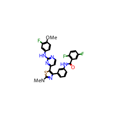 CNc1nc(-c2cccc(NC(=O)c3cc(F)ccc3F)c2)c(-c2ccnc(Nc3ccc(OC)c(F)c3)n2)s1